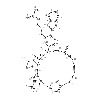 CC(=O)N[C@H]1Cc2ccc(cc2)OC/C=C\CNC(=O)CC[C@@H](C(=O)N[C@@H](CCCNC(=N)N)C(=O)c2nc3ccccc3s2)NC(=O)[C@H](CC(C)C)NC1=O